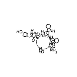 NC(=O)[C@@H]1CCC(=O)NCCCC[C@@H](NC(=O)[C@@H](N)Cc2ccc(O)cc2)C(=O)N[C@@H](Cc2c[nH]c3ccccc23)C(=O)N[C@@H](Cc2ccccc2)C(=O)N1